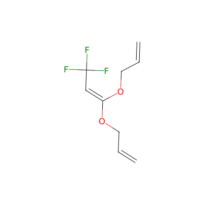 C=CCOC(=CC(F)(F)F)OCC=C